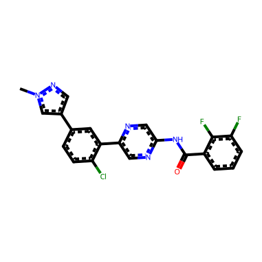 Cn1cc(-c2ccc(Cl)c(-c3cnc(NC(=O)c4cccc(F)c4F)cn3)c2)cn1